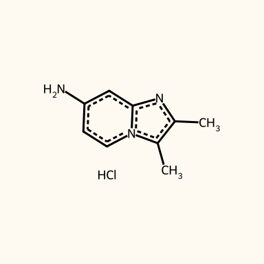 Cc1nc2cc(N)ccn2c1C.Cl